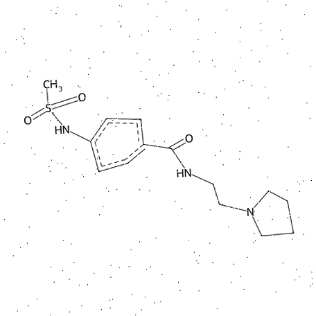 CS(=O)(=O)Nc1ccc(C(=O)NCCN2CCCC2)cc1